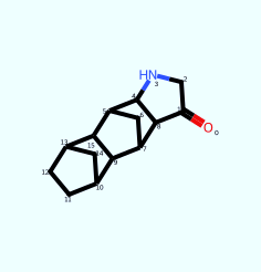 O=C1CNC2C3CC(C12)C1C2CCC(C2)C31